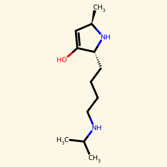 CC(C)NCCCC[C@H]1N[C@H](C)C=C1O